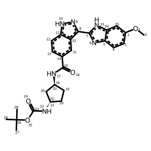 COc1ccc2nc(-c3n[nH]c4ccc(C(=O)N[C@H]5CC[C@H](NC(=O)OC(C)(C)C)C5)cc34)[nH]c2c1